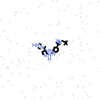 CC(c1ccnc(Nc2nc3ccc(-c4cnn(CC5CC5(C)C)c4)cc3[nH]2)c1)N1CCNCC1